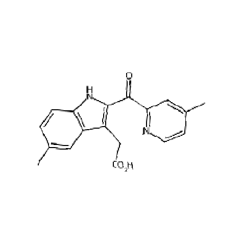 Cc1ccnc(C(=O)c2[nH]c3ccc(C)cc3c2CC(=O)O)c1